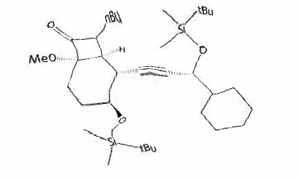 CCCCC1C(=O)[C@]2(OC)CC[C@H](O[Si](C)(C)C(C)(C)C)[C@@H](C#C[C@H](O[Si](C)(C)C(C)(C)C)C3CCCCC3)[C@H]12